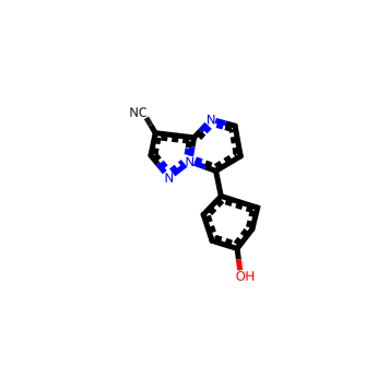 N#Cc1cnn2c(-c3ccc(O)cc3)ccnc12